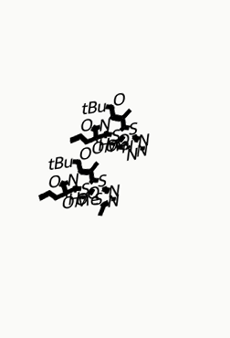 C=CC[C@@]1(OC)C(=O)N2C(C(=O)C(C)(C)C)=C(C)C(Sc3nnc(C)s3)S(=O)(=O)[C@@H]21.C=CC[C@@]1(OC)C(=O)N2C(C(=O)C(C)(C)C)=C(C)C(Sc3nnnn3C)S(=O)(=O)[C@@H]21